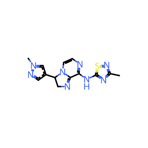 Cc1nsc(NC2=NC=CN3C2=NCC3c2cnn(C)c2)n1